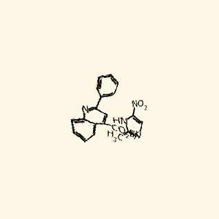 CCOC(=O)c1cc(-c2ccccc2)nc2ccccc12.Cc1ncc([N+](=O)[O-])[nH]1